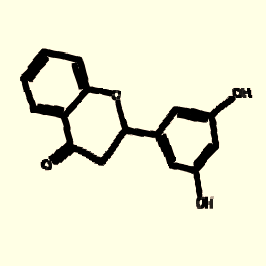 O=C1CC(c2cc(O)cc(O)c2)Oc2ccccc21